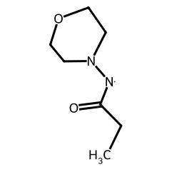 CCC(=O)[N]N1CCOCC1